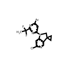 CC(=O)c1cc(N2CC3(CC3)c3cnc(Cl)cc32)nc(C(C)(F)F)n1